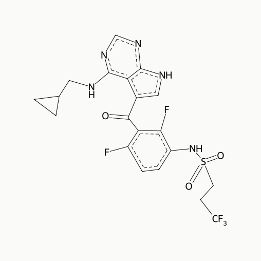 O=C(c1c(F)ccc(NS(=O)(=O)CCC(F)(F)F)c1F)c1c[nH]c2ncnc(NCC3CC3)c12